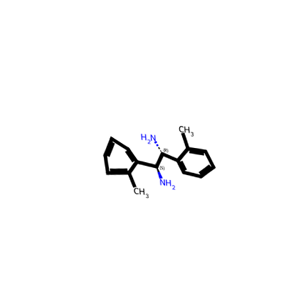 Cc1ccccc1[C@@H](N)[C@@H](N)c1ccccc1C